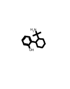 CC(C)(N)C1CCCCC1c1ccccc1O